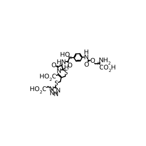 N[C@H](COC(=O)Nc1ccc([C@@H](O)C(=O)N[C@@H]2C(=O)N3C(C(=O)O)=C(CSc4nnnn4CC(=O)O)CS[C@H]23)cc1)C(=O)O